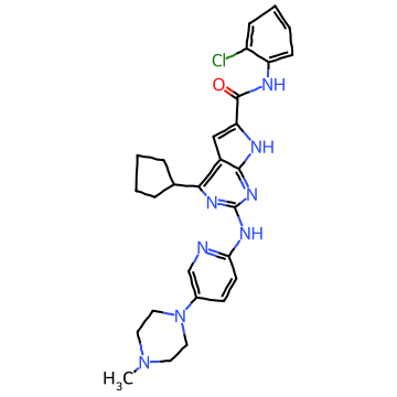 CN1CCN(c2ccc(Nc3nc(C4CCCC4)c4cc(C(=O)Nc5ccccc5Cl)[nH]c4n3)nc2)CC1